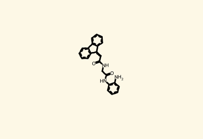 Nc1ccccc1NC(=O)CNC(=O)C=C1c2ccccc2-c2ccccc21